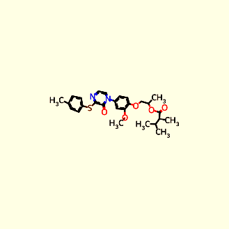 COc1cc(-n2ccnc(Sc3ccc(C)cc3)c2=O)ccc1OCC(C)OC(=O)[C@@H](C)C(C)C